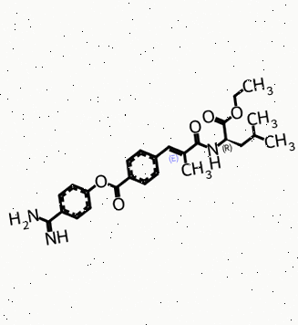 CCOC(=O)[C@@H](CC(C)C)NC(=O)/C(C)=C/c1ccc(C(=O)Oc2ccc(C(=N)N)cc2)cc1